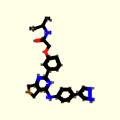 CC(C)NC(=O)COc1cccc(-c2nc3c(c(Nc4ccc(-c5cn[nH]c5)cc4)n2)CSC3)c1